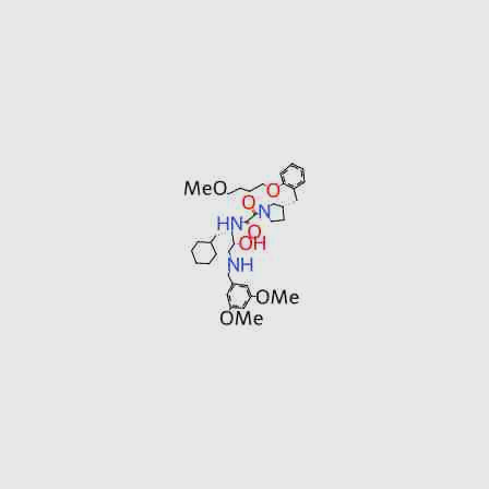 COCCCCOc1ccccc1C[C@@H]1CCN(C(=O)C(=O)N[C@@H](CC2CCCCC2)[C@H](O)CNCc2cc(OC)cc(OC)c2)C1